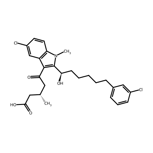 C[C@H](CC(=O)O)CC(=O)c1c([C@H](O)CCCCCc2cccc(Cl)c2)n(C)c2ccc(Cl)cc12